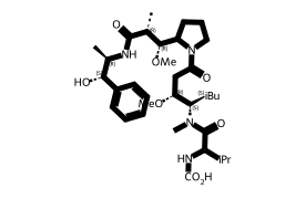 CC[C@H](C)[C@@H]([C@@H](CC(=O)N1CCCC1[C@H](OC)[C@@H](C)C(=O)N[C@H](C)[C@@H](O)c1ccccc1)OC)N(C)C(=O)C(NC(=O)O)C(C)C